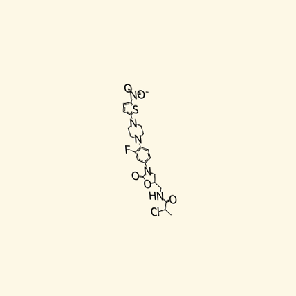 CC(Cl)C(=O)NCC1CN(c2ccc(N3CCN(c4ccc([N+](=O)[O-])s4)CC3)c(F)c2)C(=O)O1